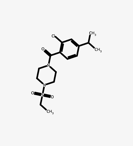 CCS(=O)(=O)N1CCN(C(=O)c2ccc(C(C)C)cc2Cl)CC1